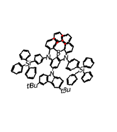 CC(C)(C)c1ccc2c(c1)c1cc(C(C)(C)C)ccc1n2-c1cc2c3c(c1)N(c1ccc([Si](c4ccccc4)(c4ccccc4)c4ccccc4)cc1)c1cccc(-c4ccccc4)c1B3c1c(-c3ccccc3)cccc1N2c1ccc([Si](c2ccccc2)(c2ccccc2)c2ccccc2)cc1